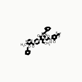 CCc1c(N2CCN(C(=O)c3ncnc(C)c3OCc3ccccc3)CC2)c(=O)n2nc(C3=CC4CCC3C4)nc2n1CC(=O)Nc1ccc(C(F)(F)F)cc1Cl